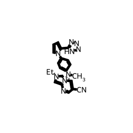 CCN1C=C2N=CC(C#N)=C[N+]2(N(C)c2ccc(-n3cccc3-c3nnn[nH]3)cc2)C1